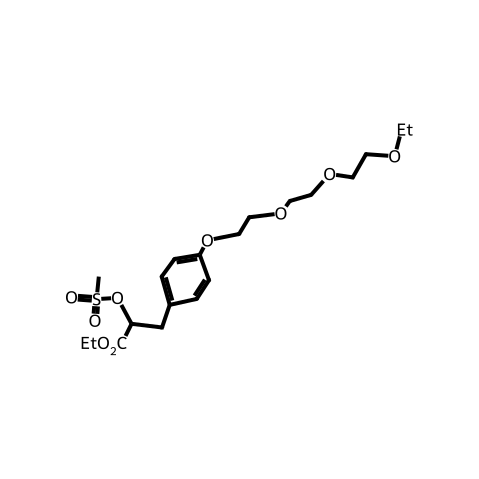 CCOCCOCCOCCOc1ccc(CC(OS(C)(=O)=O)C(=O)OCC)cc1